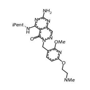 CCC[C@@H](C)Nc1nc(N)nc2cnn(Cc3ccc(OCCNC)nc3OC)c(=O)c12